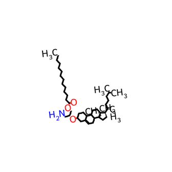 CCCCCCCCCCCCCC(=O)OCC(CN)OC1CC[C@@]2(C)C(=CCC3C2CC[C@@]2(C)C3CC[C@@H]2[C@H](C)CCCC(C)C)C1